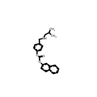 CC(C)CNCc1ccc(OC(=O)Oc2ccc3ccccc3c2)cc1